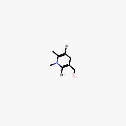 BCC1=C(CC)N(C)C(C)=C(CC)C1